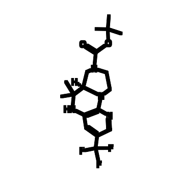 CC(C)(C)OC(=O)N1CCN2c3ncc(C(F)(F)F)cc3NC(C)(C)[C@H]2C1